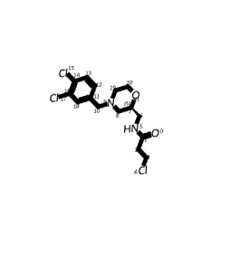 O=C(CCCl)NC[C@H]1CN(Cc2ccc(Cl)c(Cl)c2)CCO1